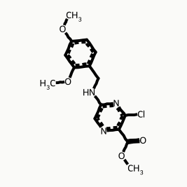 COC(=O)c1ncc(NCc2ccc(OC)cc2OC)nc1Cl